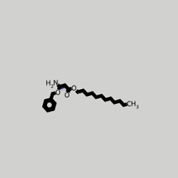 CCCCCCCCCCCCOC(=O)/C=C(/N)OCc1ccccc1